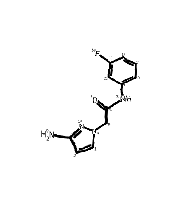 Nc1ccn(CC(=O)Nc2cccc(F)c2)n1